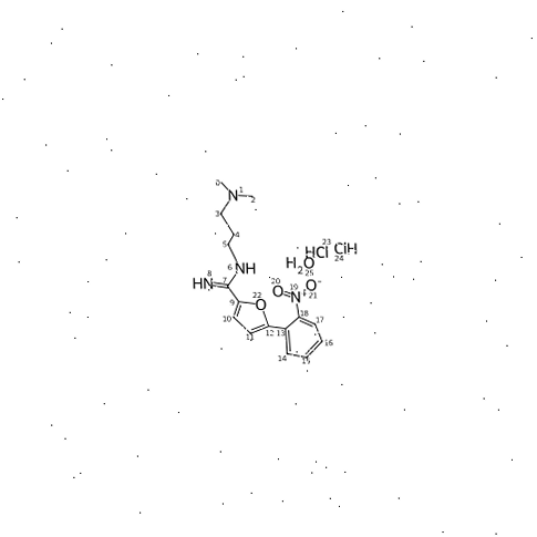 CN(C)CCCNC(=N)c1ccc(-c2ccccc2[N+](=O)[O-])o1.Cl.Cl.O